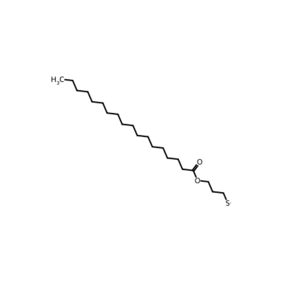 CCCCCCCCCCCCCCCCCC(=O)OCCC[S]